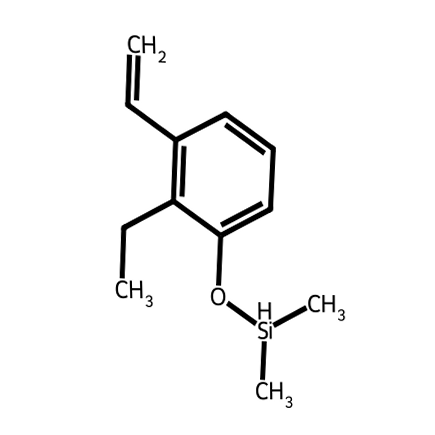 C=Cc1cccc(O[SiH](C)C)c1CC